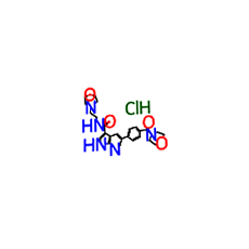 Cl.O=C(NCCN1CCOCC1)c1c[nH]c2ncc(-c3ccc(C(=O)N4CCOCC4)cc3)cc12